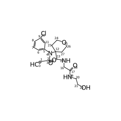 C#CC(=O)N(c1cccc(Cl)c1)C1(C(=O)NCC(=O)NCCO)CCOCC1